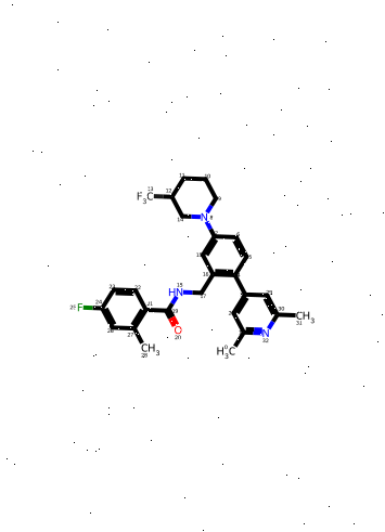 Cc1cc(-c2ccc(N3CCCC(C(F)(F)F)C3)cc2CNC(=O)c2ccc(F)cc2C)cc(C)n1